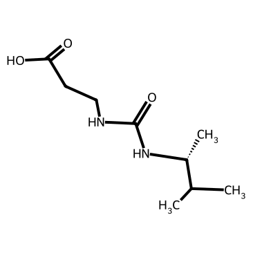 CC(C)[C@@H](C)NC(=O)NCCC(=O)O